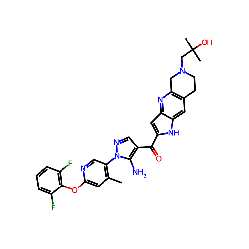 Cc1cc(Oc2c(F)cccc2F)ncc1-n1ncc(C(=O)c2cc3nc4c(cc3[nH]2)CCN(CC(C)(C)O)C4)c1N